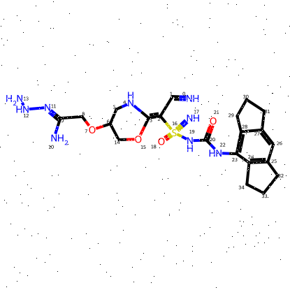 N=C/C(=C1\NCC(OC/C(N)=N/NN)CO1)S(=N)(=O)NC(=O)Nc1c2c(cc3c1CCC3)CCC2